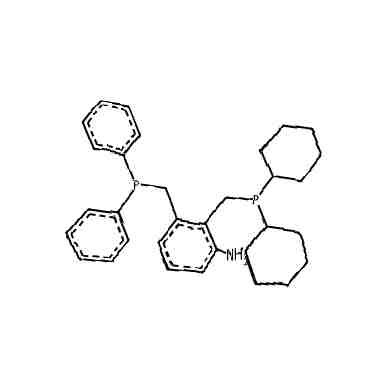 Nc1cccc(CP(c2ccccc2)c2ccccc2)c1CP(C1CCCCC1)C1CCCCC1